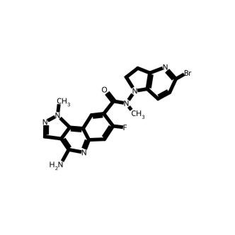 CN(C(=O)c1cc2c(cc1F)nc(N)c1cnn(C)c12)N1CCc2nc(Br)ccc21